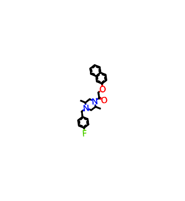 CC1CN(C(=O)COc2ccc3ccccc3c2)C(C)CN1Cc1ccc(F)cc1